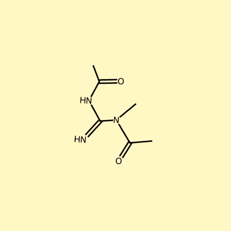 CC(=O)NC(=N)N(C)C(C)=O